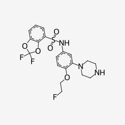 O=S(=O)(Nc1ccc(OCCF)c(N2CCNCC2)c1)c1cccc2c1OC(F)(F)O2